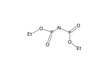 CCO[P](=O)[N][P](=O)OCC